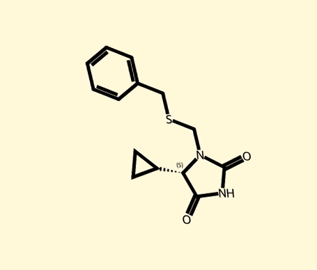 O=C1NC(=O)N(CSCc2ccccc2)[C@H]1C1CC1